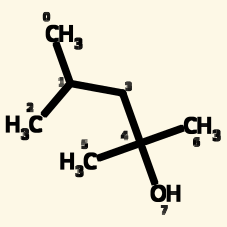 CC(C)CC(C)(C)O